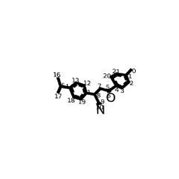 Cc1ccc(C(=O)CC(C#N)c2ccc(C(C)C)cc2)cc1